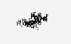 C[C@@H]1CN(c2nc(=O)n3c4c(cc(C(F)(F)F)cc24)[SH](Cl)C[C@@H](c2cncc(F)c2)C3)C[C@H](C)N1C(=O)OC(C)(C)C